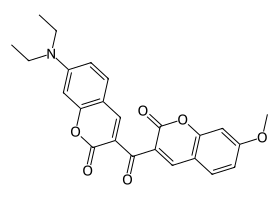 CCN(CC)c1ccc2cc(C(=O)c3cc4ccc(OC)cc4oc3=O)c(=O)oc2c1